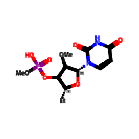 CC[C@H]1O[C@@H](n2ccc(=O)[nH]c2=O)C(OC)C1OP(=O)(O)OC